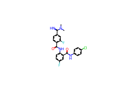 CN(C)C(=N)c1ccc(C(=O)Nc2ccc(F)cc2C(=O)Nc2ccc(Cl)cc2)c(F)c1